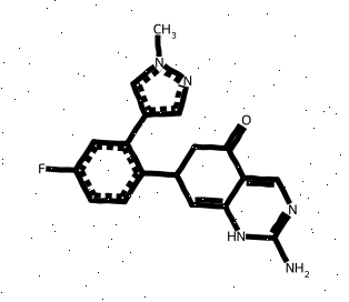 Cn1cc(-c2cc(F)ccc2C2C=C3NC(N)=NC=C3C(=O)C2)cn1